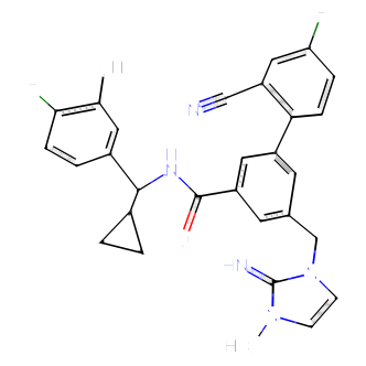 Cc1cc(C(NC(=O)c2cc(Cn3ccn(C)c3=N)cc(-c3ccc(F)cc3C#N)c2)C2CC2)ccc1F